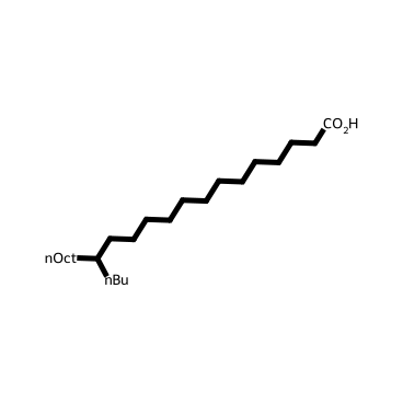 CCCCCCCCC(CCCC)CCCCCCCCCCCCC(=O)O